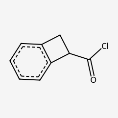 O=C(Cl)C1Cc2ccccc21